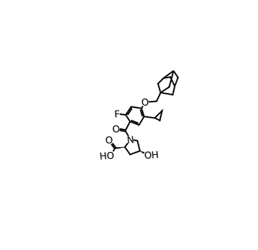 O=C(O)[C@@H]1C[C@H](O)CN1C(=O)c1cc(C2CC2)c(OCC23CC4CC(C2)C(C4)C3)cc1F